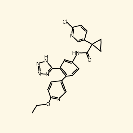 CCOc1ccc(-c2ccc(NC(=O)C3(c4ccc(Cl)nc4)CC3)cc2-c2nnn[nH]2)cn1